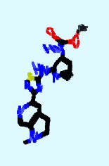 CN1CCc2cc(-c3nsc(Nc4ncccc4NC(=O)OC(C)(C)C)n3)ncc21